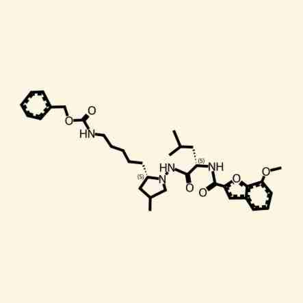 COc1cccc2cc(C(=O)N[C@@H](CC(C)C)C(=O)NN3CC(C)C[C@@H]3CCCCCNC(=O)OCc3ccccc3)oc12